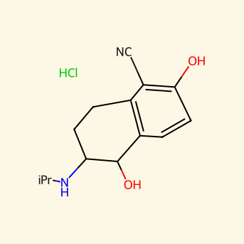 CC(C)NC1CCc2c(ccc(O)c2C#N)C1O.Cl